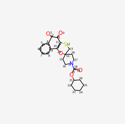 O=C1C(=O)c2ccccc2C2=C1SCC1(CCN(C(=O)OC3CCCCC3)CC1)O2